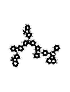 CC1(C)c2ccccc2-c2ccc(-n3c4ccccc4c4cc(-c5ccc6c(c5)c5cc(-c7ccc8c(c7)c7ccccc7n8-c7ccc(-c8nc(-c9ccccc9)nc9c8-c8cccc%10cccc-9c8%10)cc7)ccc5n6-c5ccc6c(c5)C(C)(C)c5ccccc5-6)ccc43)cc21